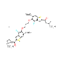 COc1cc2sc(C(=O)CC(C)C(=O)O)cc2c(F)c1OCCCOc1c(OC)cc2sc(C(=O)[C@@H]3CC[C@H]3C(=O)O)cc2c1F